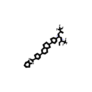 C=C(/C=C(\C=C(/CC)C(F)(F)F)c1ccc(-c2ccc3cc(-c4ccc(-c5nc6ccccc6s5)cc4)ccc3c2)cc1)C(F)(F)F